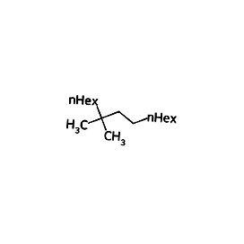 [CH2]CCCCCCCC(C)(C)CCCCCC